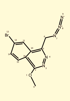 COc1nnc(CN=[N+]=[N-])c2cc(Br)ccc12